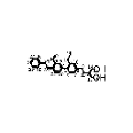 CCc1cc(-c2ccc(CCC(CO)CO)cc2CC)ccc1CCc1ccccc1